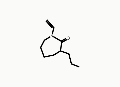 C=CN1CCCCC(CCC)C1=O